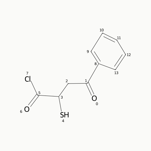 O=C(CC(S)C(=O)Cl)c1ccccc1